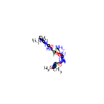 CC1=CC(C)=[N+]2C1=Cc1ccc(CCC(=O)NCc3cn(-c4cccc(C(=O)N[C@@H](CCCCN)C(=O)COc5c(F)cc(CCNC(=O)c6ccc(/N=N/c7ccc(N(C)C)cc7)cc6)cc5F)c4)nn3)n1[B-]2(F)F